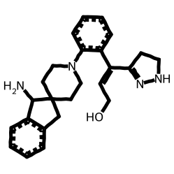 NC1c2ccccc2CC12CCN(c1ccccc1C(=CCO)C1=NNCC1)CC2